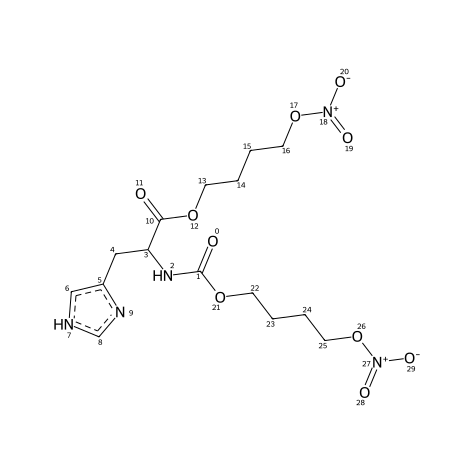 O=C(NC(Cc1c[nH]cn1)C(=O)OCCCCO[N+](=O)[O-])OCCCCO[N+](=O)[O-]